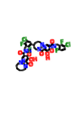 O=C(NCc1c(F)ccc(Cl)c1F)c1cn2c(c(O)c1=O)C(=O)N1CCC(c3cc(Cl)c(F)c(CNC(=O)c4cn5c(c(O)c4=O)C(=O)N4CCCCCCN5C4)c3F)CCCN2C1